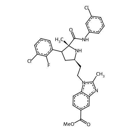 COC(=O)c1ccc2c(c1)nc(C)n2CC[C@H]1CC(c2cccc(Cl)c2F)[C@](C)(C(=O)Nc2cccc(Cl)c2)N1